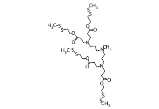 CSSCCOC(=O)CCN(CCCN(C)CCCN(CCC(=O)OCCSSC)CCC(=O)OCCSSC)CCC(=O)OCCSSC